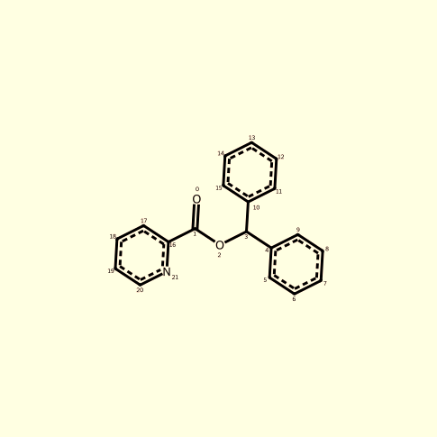 O=C(OC(c1ccccc1)c1ccccc1)c1ccccn1